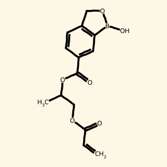 C=CC(=O)OCC(C)OC(=O)c1ccc2c(c1)B(O)OC2